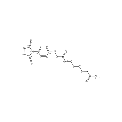 CC(=O)CCOCCNC(=O)CCc1ccc(N2C(=O)C=CC2=O)cc1